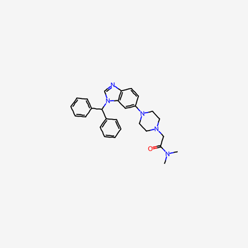 CN(C)C(=O)CN1CCN(c2ccc3ncn(C(c4ccccc4)c4ccccc4)c3c2)CC1